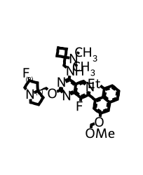 CCc1cccc2cc(OCOC)cc(-c3ncc4c(NCC5(N(C)C)CCC5)nc(OC[C@@]56CCCN5C[C@H](F)C6)nc4c3F)c12